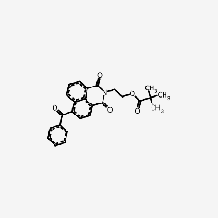 CC(C)(C)C(=O)OCCN1C(=O)c2cccc3c(C(=O)c4ccccc4)ccc(c23)C1=O